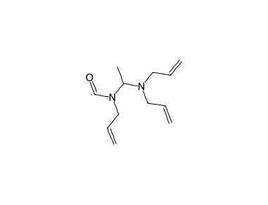 C=CCN([C]=O)C(C)N(CC=C)CC=C